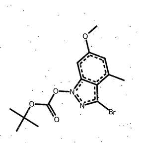 COc1cc(C)c2c(Br)nn(OC(=O)OC(C)(C)C)c2c1